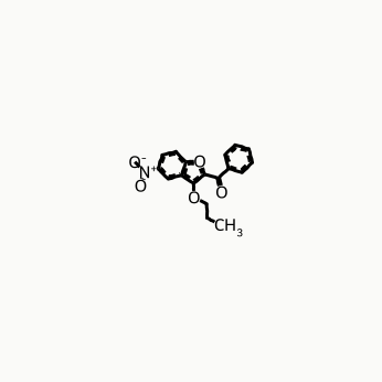 CCCOc1c(C(=O)c2ccccc2)oc2ccc([N+](=O)[O-])cc12